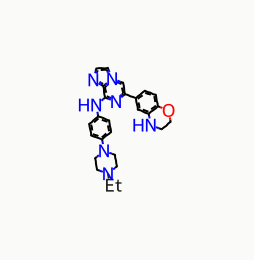 CCN1CCN(c2ccc(Nc3nc(-c4ccc5c(c4)NCCO5)cn4ccnc34)cc2)CC1